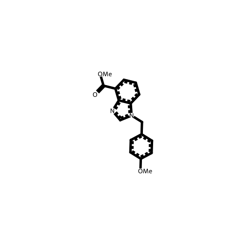 COC(=O)c1cccc2c1ncn2Cc1ccc(OC)cc1